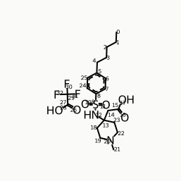 CCCCCc1ccc(S(=O)(=O)NC2(CC(=O)O)CCN(C)CC2)cc1.O=C(O)C(F)(F)F